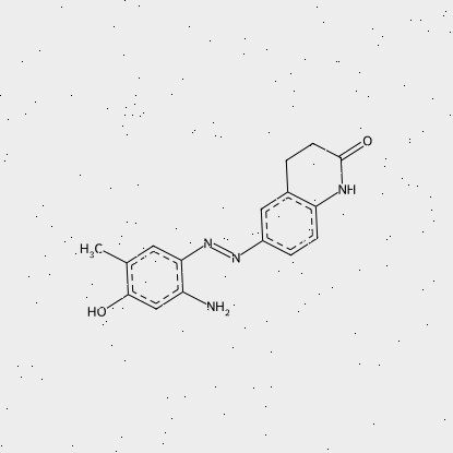 Cc1cc(N=Nc2ccc3c(c2)CCC(=O)N3)c(N)cc1O